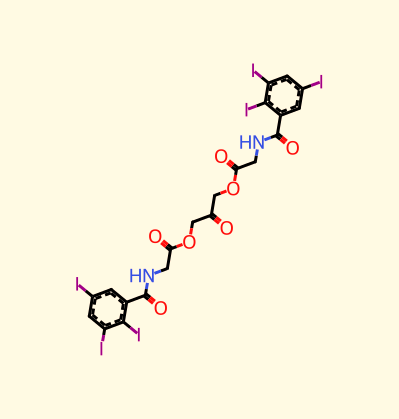 O=C(COC(=O)CNC(=O)c1cc(I)cc(I)c1I)COC(=O)CNC(=O)c1cc(I)cc(I)c1I